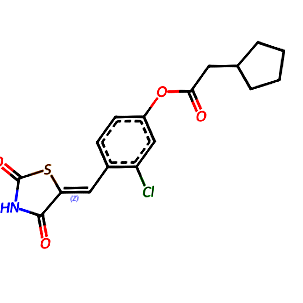 O=C(CC1CCCC1)Oc1ccc(/C=C2\SC(=O)NC2=O)c(Cl)c1